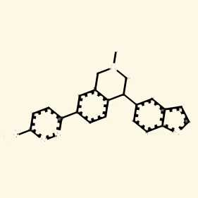 CN1Cc2cc(-c3ccc(N)nn3)ccc2C(c2ccc3[nH]ccc3c2)C1